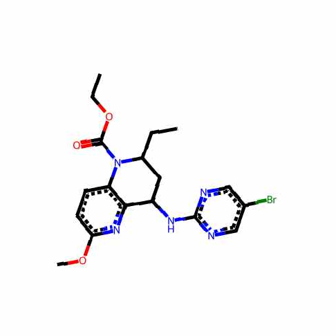 CCOC(=O)N1c2ccc(OC)nc2C(Nc2ncc(Br)cn2)CC1CC